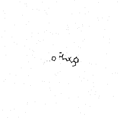 Cc1sc(C(=O)c2cncnc2N[C@@H]2C[C@H](COS(N)(=O)=O)C[C@@H]2F)cc1C1OCCc2ccc(Cl)cc21